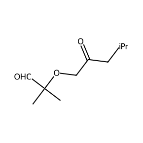 CC(C)CC(=O)COC(C)(C)C=O